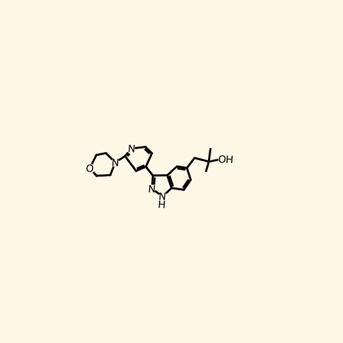 CC(C)(O)Cc1ccc2[nH]nc(-c3ccnc(N4CCOCC4)c3)c2c1